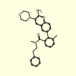 Cc1cccc(C(=O)N(C)CCc2ccccc2)c1-c1ccc2nc(N)c(N3CCOCC3)cc2c1